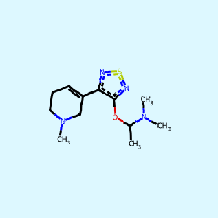 CC(Oc1nsnc1C1=CCCN(C)C1)N(C)C